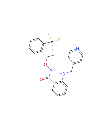 CC(ONC(=O)c1ccccc1NCc1ccncc1)c1ccccc1C(F)(F)F